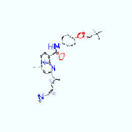 C=N/C=C\C=C(/C)c1cc(C)n2ccc(C(=O)N[C@H]3CC[C@H](OCC(C)(C)C)CC3)c2n1